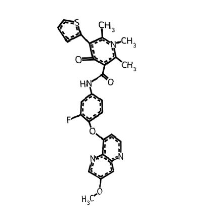 COc1cnc2c(Oc3ccc(NC(=O)c4c(C)n(C)c(C)c(-c5cccs5)c4=O)cc3F)ccnc2c1